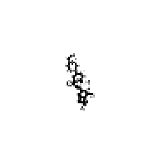 CCN1CCC(C2=CN3C(=O)C=C(c4cc(C)c5nn(C)cc5c4)PC3C=C2)CC1